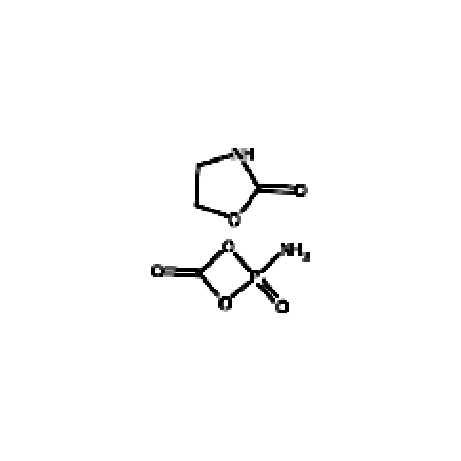 NP1(=O)OC(=O)O1.O=C1NCCO1